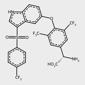 N[C@H](C(=O)O)c1cc(C(F)(F)F)c(Oc2ccc3[nH]cc(S(=O)(=O)c4ccc(C(F)(F)F)cc4)c3c2)c(C(F)(F)F)c1